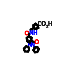 O=C(O)c1ccc(CNC(=O)c2ccc3c(c2)c(=O)n(-c2ccccc2)n3C2CCCCC2)cc1